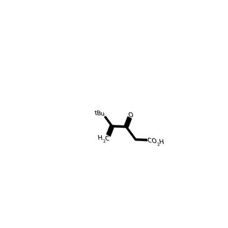 C=C(C(=O)CC(=O)O)C(C)(C)C